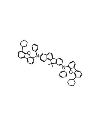 CC1(C)c2cc(N(c3ccccc3)c3cccc4c3oc3c(C5CCCCC5)cccc34)ccc2-c2ccc3cc(N(c4ccccc4)c4cccc5c4oc4c(C6CCCCC6)cccc45)ccc3c21